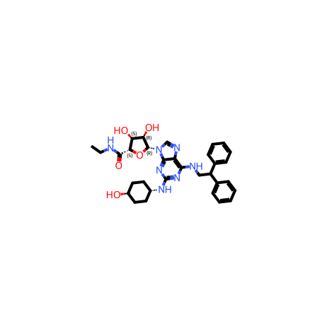 CCNC(=O)[C@H]1O[C@@H](n2cnc3c(NCC(c4ccccc4)c4ccccc4)nc(N[C@H]4CC[C@H](O)CC4)nc32)[C@H](O)[C@@H]1O